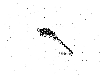 CCCCCCC/C=C\CCCCCCCCOCCCC(=O)OCC(=O)[C@@]1(O)[C@H](C)C[C@H]2[C@@H]3CCC4=CC(=O)C=C[C@]4(C)[C@H]3[C@@H](O)C[C@@]21C